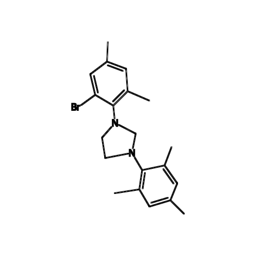 Cc1cc(C)c(N2CCN(c3c(C)cc(C)cc3Br)C2)c(C)c1